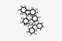 C[Si](c1ccccc1)(c1ccccc1)c1ccccc1-c1ccccc1-n1c2ccccc2c2ccccc21